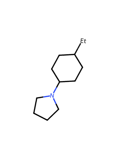 CCC1CCC(N2CCCC2)CC1